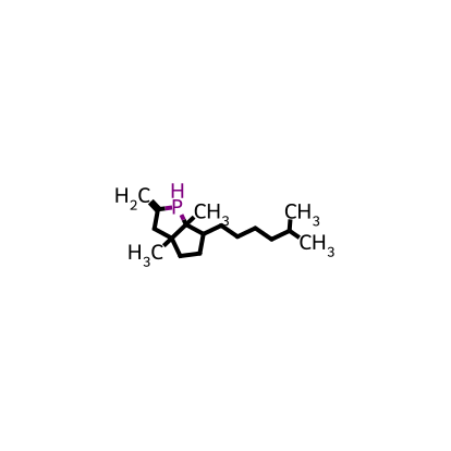 C=C1CC2(C)CCC(CCCCC(C)C)C2(C)P1